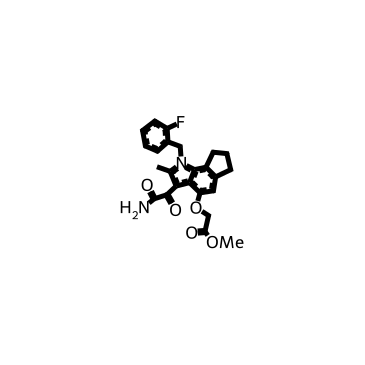 COC(=O)COc1cc2c(c3c1c(C(=O)C(N)=O)c(C)n3Cc1ccccc1F)CCC2